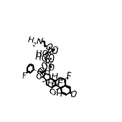 C[C@]12C=CC(=O)C=C1[C@@H](F)C[C@H]1[C@@H]3C[C@H]4O[C@@H](c5cccc(F)c5)O[C@@]4(C(=O)COP(=O)(O)OP(=O)(O)OCCN)[C@@]3(C)C[C@H](O)[C@@]12F